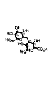 O=C(O)C(O)[C@@H](O)[C@H](CC1O[C@H](CO)[C@H](O)[C@H](O)[C@H]1O)[C@H](O)CO